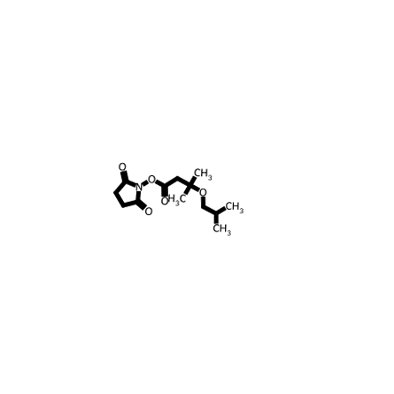 CC(C)COC(C)(C)CC(=O)ON1C(=O)CCC1=O